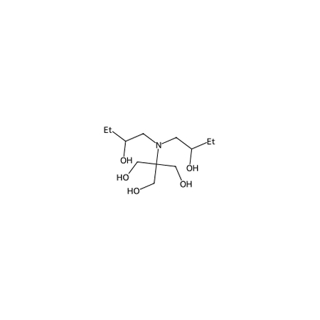 CCC(O)CN(CC(O)CC)C(CO)(CO)CO